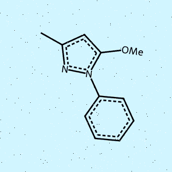 COc1cc(C)nn1-c1ccccc1